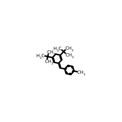 Cc1ccc(C=C2C=C(C(C)(C)C)CC(C(C)(C)C)=C2)cc1